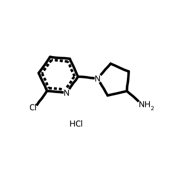 Cl.NC1CCN(c2cccc(Cl)n2)C1